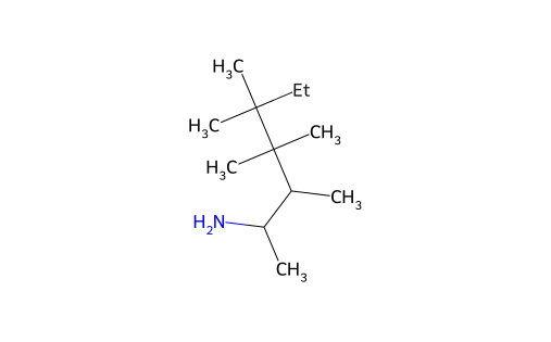 CCC(C)(C)C(C)(C)C(C)C(C)N